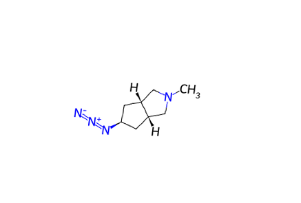 CN1C[C@H]2C[C@H](N=[N+]=[N-])C[C@H]2C1